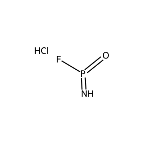 Cl.N=P(=O)F